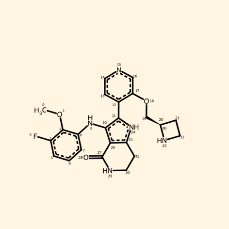 COc1c(F)cccc1Nc1c(-c2ccncc2OC[C@H]2CCN2)[nH]c2c1C(=O)NCC2